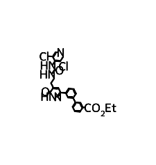 CCOC(=O)c1cccc(-c2cccc(-c3cc(CCNC(=O)Nc4c(Cl)cncc4Cl)c(=O)[nH]n3)c2)c1